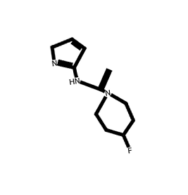 C=C(NC1=NCC=C1)N1CCC(F)CC1